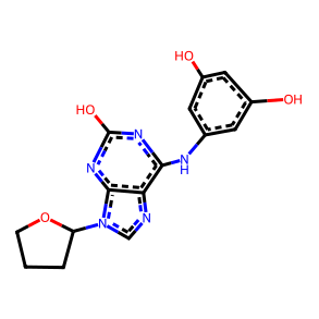 Oc1cc(O)cc(Nc2nc(O)nc3c2ncn3C2CCCO2)c1